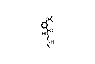 CCNCCNC(=O)c1cccc(OC(C)C)c1